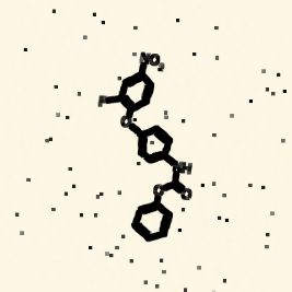 O=C(Nc1ccc(Oc2ccc([N+](=O)[O-])cc2F)cc1)Oc1ccccc1